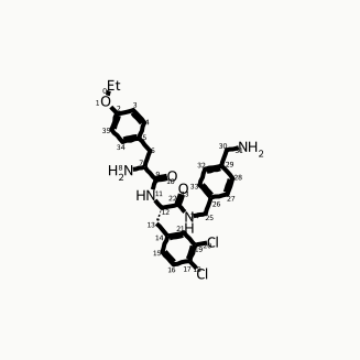 CCOc1ccc(CC(N)C(=O)N[C@@H](Cc2ccc(Cl)c(Cl)c2)C(=O)NCc2ccc(CN)cc2)cc1